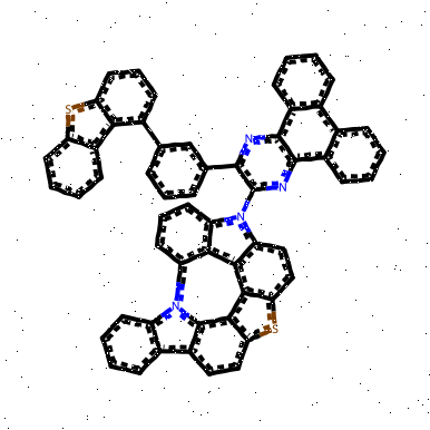 c1cc(-c2nc3c4ccccc4c4ccccc4c3nc2-n2c3ccc4sc5ccc6c7ccccc7n7c8cccc2c8c3c4c5c67)cc(-c2cccc3sc4ccccc4c23)c1